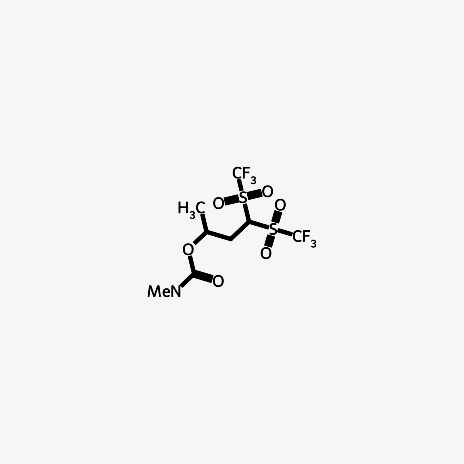 CNC(=O)OC(C)CC(S(=O)(=O)C(F)(F)F)S(=O)(=O)C(F)(F)F